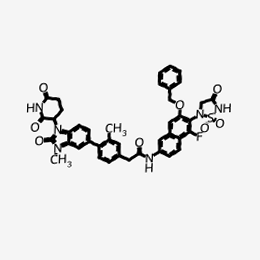 Cc1cc(CC(=O)Nc2ccc3c(F)c(N4CC(=O)NS4(=O)=O)c(OCc4ccccc4)cc3c2)ccc1-c1ccc2c(c1)n(C)c(=O)n2C1CCC(=O)NC1=O